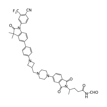 CC(CCC(=O)NC=O)N1C(=O)c2ccc(N3CCN(CC4CN(c5ccc(-c6ccc7c(c6)C(C)(C)C(=O)N7c6ccc(C#N)c(C(F)(F)F)c6)cc5)C4)CC3)cc2C1=O